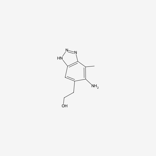 Cc1c(N)c(CCO)cc2[nH]nnc12